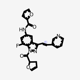 O=C(Nc1cc(F)c2c(c1)c(/C=C/c1cccnc1)nn2C(=O)C1CC=CO1)c1ccco1